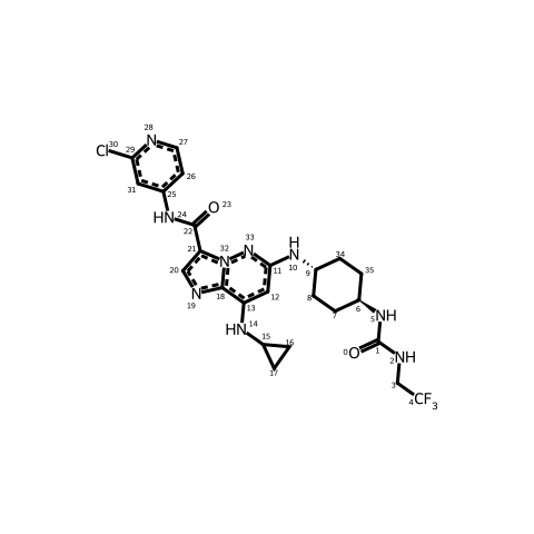 O=C(NCC(F)(F)F)N[C@H]1CC[C@H](Nc2cc(NC3CC3)c3ncc(C(=O)Nc4ccnc(Cl)c4)n3n2)CC1